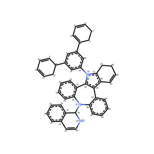 C1=CCCC(c2cc(C3C=CC=CC3)cc(-n3c4c(c5c3-c3ccccc3N(C3NC=Cc6ccccc63)c3ccccc3-5)C=CCC4)c2)=C1